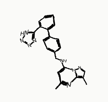 Cc1cc(NCc2ccc(-c3ccccc3-c3nnn[nH]3)cc2)n2ncc(C)c2n1